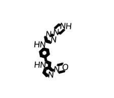 c1cc2[nH]c(-c3ccc(Nc4cnc(N5CCNCC5)nc4)cc3)cc2c(N2CCOCC2)n1